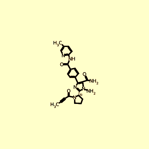 CC#CC(=O)N1CCC[C@H]1c1nc(-c2ccc(C(=O)Nc3ccc(C)cn3)cc2)c(C(N)=O)n1N